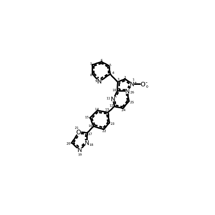 [O-][n+]1cc(-c2ccccn2)c2nc(-c3ccc(-c4nnco4)cc3)ccn21